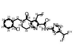 O=C(Nc1nnc(C(F)F)s1)c1nn2c(c1CF)C(=O)N(Cc1ccccc1Cl)CC2